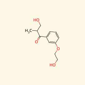 CC(CO)C(=O)c1cccc(OCCO)c1